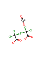 O=C([O-])C(Cl)(Cl)Cl.O=C([O-])C(Cl)(Cl)Cl.[O]=[Cr+2]=[O]